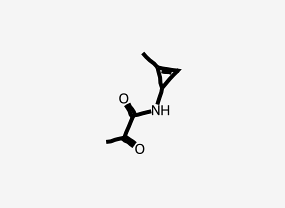 CC(=O)C(=O)NC1C=C1C